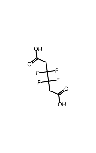 O=C(O)CC(F)(F)C(F)(F)CC(=O)O